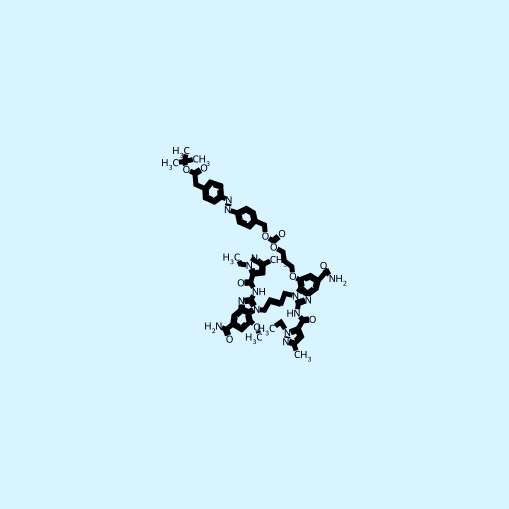 CCn1nc(C)cc1C(=O)Nc1nc2cc(C(N)=O)cc(OC)c2n1C/C=C/Cn1c(NC(=O)c2cc(C)nn2CC)nc2cc(C(N)=O)cc(OCCCOC(=O)OCc3ccc(N=Nc4ccc(CC(=O)OC(C)(C)C)cc4)cc3)c21